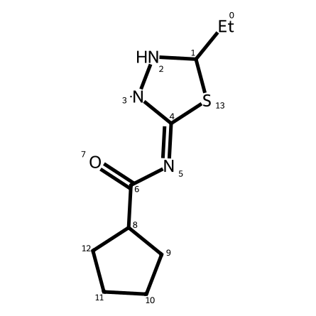 CCC1N[N]C(=NC(=O)C2CCCC2)S1